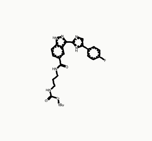 CC(C)(C)OC(=O)NCCCNC(=O)c1ccc2[nH]nc(-c3ncc(-c4ccc(F)cc4)[nH]3)c2c1